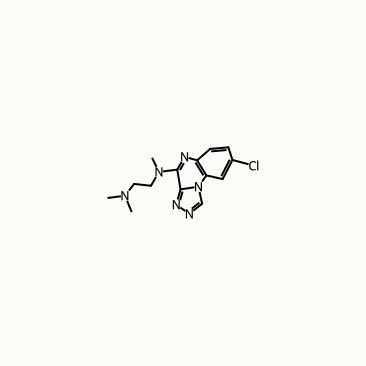 CN(C)CCN(C)c1nc2ccc(Cl)cc2n2cnnc12